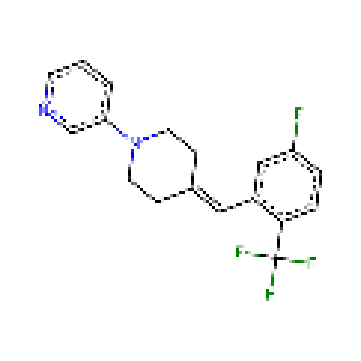 Fc1ccc(C(F)(F)F)c(C=C2CCN(c3cccnc3)CC2)c1